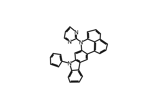 c1ccc(-n2c3ccccc3c3cc4c(cc32)N(c2ncccn2)c2cccc3cccc-4c23)cc1